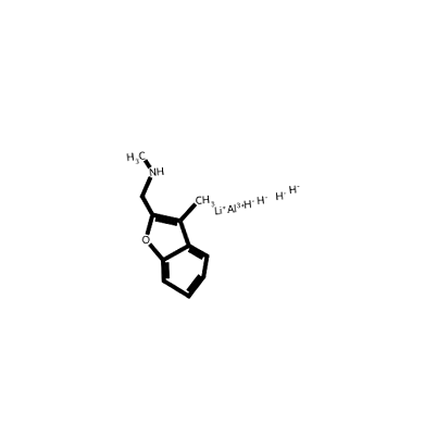 CNCc1oc2ccccc2c1C.[Al+3].[H-].[H-].[H-].[H-].[Li+]